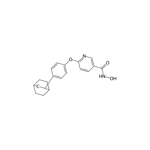 O=C(NO)c1ccc(Oc2ccc(C3CC4CCC3CC4)cc2)nc1